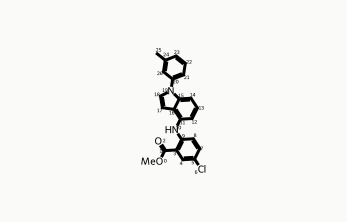 COC(=O)c1cc(Cl)ccc1Nc1cccc2c1ccn2-c1cccc(C)c1